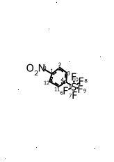 O=[N+]([O-])c1ccc(S(F)(F)(F)(F)F)cc1